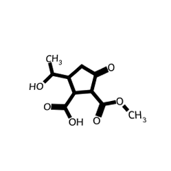 COC(=O)C1C(=O)CC(C(C)O)C1C(=O)O